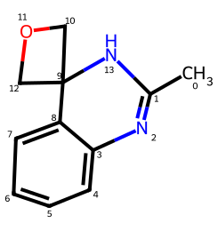 CC1=Nc2ccccc2C2(COC2)N1